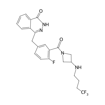 O=C(c1cc(Cc2n[nH]c(=O)c3ccccc23)ccc1F)N1CC(NCCCC(F)(F)F)C1